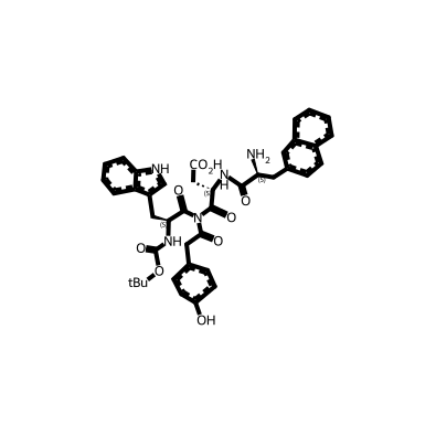 CC(C)(C)OC(=O)N[C@@H](Cc1c[nH]c2ccccc12)C(=O)N(C(=O)Cc1ccc(O)cc1)C(=O)[C@H](CC(=O)O)NC(=O)[C@@H](N)Cc1ccc2ccccc2c1